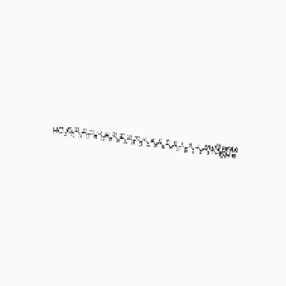 CO[Si](CCCCCCCCCCCCCCCCCCCCCCCCCCCCCCCCCCCCCCCC(=O)O)(OC)OC